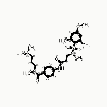 COc1cc(C)c(S(=O)(=O)N(C)CCC(=O)Nc2ccc(C(=O)N(C)CCCN(C)C)cc2)c(C)c1